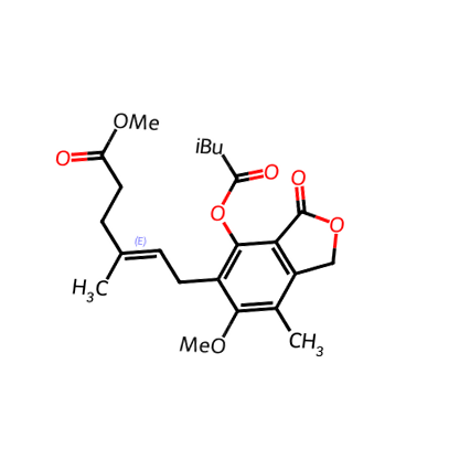 CCC(C)C(=O)Oc1c(C/C=C(\C)CCC(=O)OC)c(OC)c(C)c2c1C(=O)OC2